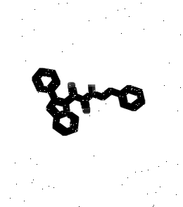 O=C(NCCc1ccccc1)C(=O)c1c(-c2ccccc2)cc2ccccn12